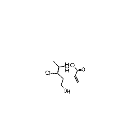 C=CC(=O)O.CC(O)C(Cl)CCO